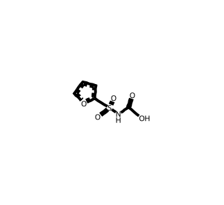 O=C(O)NS(=O)(=O)c1ccco1